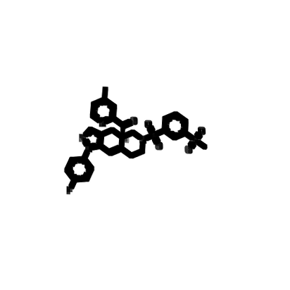 Cc1ccnc(C(=O)[C@]23Cc4cnn(-c5ccc(F)cc5)c4C=C2CCN(S(=O)(=O)c2cccc(S(C)(=O)=O)c2)C3)c1